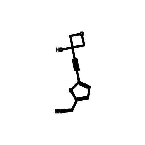 N=Cc1ccc(C#CC2(O)COC2)o1